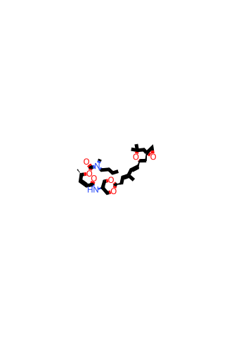 CCCCN(C)C(=O)O[C@@H](C)/C=C\C(=O)N[C@H]1CO[C@@H](C/C=C(C)/C=C/[C@@H]2C[C@]3(CO3)CC(C)(C)O2)OC1